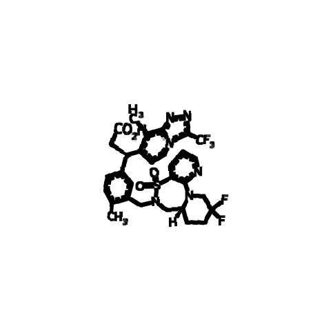 Cc1ccc([C@@H](CC(=O)O)c2ccn3c(C(F)(F)F)nnc3c2C)cc1CN1C[C@H]2CCC(F)(F)CN2c2ncccc2S1(=O)=O